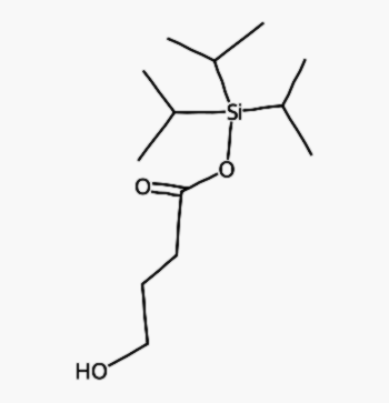 CC(C)[Si](OC(=O)CCCO)(C(C)C)C(C)C